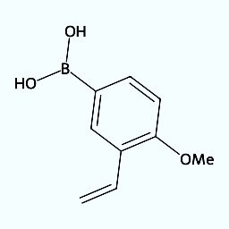 C=Cc1cc(B(O)O)ccc1OC